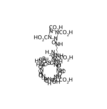 CCCCNC(=O)N[C@H]1CSSC[C@@H](C(=O)N[C@@H](CC(=O)O)C(=O)N[C@@H](CCCCNC(=O)CN2CCN(CC(=O)O)CCN(CC(=O)O)CCN(CC(=O)O)CC2)C(N)=O)NC(=O)[C@H](Cc2ccccc2)NC(=O)[C@H](CCC(=O)O)NC(=O)[C@H]([C@@H](C)O)NC(=O)[C@@H]2CCCN2C(=O)[C@@H]2CCCN2C1=O